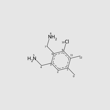 Cc1cc(CN)c(CN)c(Cl)c1C